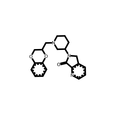 O=C1c2ncccc2CN1C1CCCN(CC2COc3ccccc3O2)C1